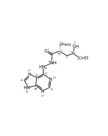 CCCCC[C@H](CN(O)C=O)C(=O)NNc1ncnc2[nH]cnc12